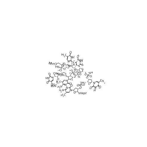 CCCCCCC[C@H]1O[C@@H](n2cc(C)c(N)nc2=O)CC1OP(=O)(S)OC[C@H]1O[C@@H](n2cc(C)c(=O)[nH]c2=O)C[C@H]1OP(=O)(S)OC[C@H]1O[C@@H](n2cc(C)c(=O)[nH]c2=O)C(OCCOC)C1OP(=O)(O)OC[C@H]1O[C@@H](n2cc(C)c(N)nc2=O)C(OCCOC)[C@H]1OP(=O)(S)OC[C@H]1O[C@@H](n2cc(C)c(=O)[nH]c2=O)C(OCCOC)C1OP(=O)(S)OC[C@H]1O[C@@H](n2cc(C)c(=O)[nH]c2=O)C(OCCOC)C1O